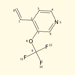 C=Cc1ccncc1OC(F)(F)F